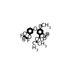 COc1cc([N+](=O)[O-])c(C(=O)OC(C)C)cc1Oc1ccc2c(c1)OC(F)(F)C(F)(F)O2